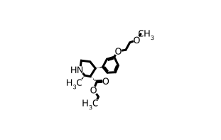 CCOC(=O)[C@@H]1[C@H](C)NCC[C@@H]1c1cccc(OCCOC)c1